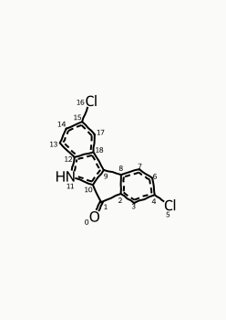 O=C1c2cc(Cl)ccc2-c2c1[nH]c1ccc(Cl)cc21